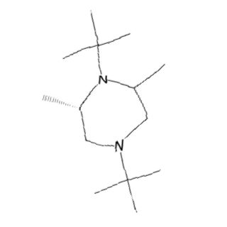 CC1CN(C(C)(C)C)C[C@H](C)N1C(C)(C)C